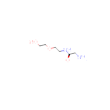 NCC(=O)NCCOCCO